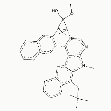 COC1(O)C2(C)c3cc4ccccc4cc3-c3c4c5cc6ccccc6c(CC(C)(C)C)c5n(C)c4nc[n+]3C12C